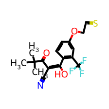 CC(C)(C)C(=O)C(C#N)=C(O)c1ccc(OCC=S)cc1C(F)(F)F